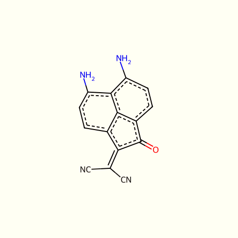 N#CC(C#N)=c1c(=O)c2ccc(N)c3c(N)ccc1c32